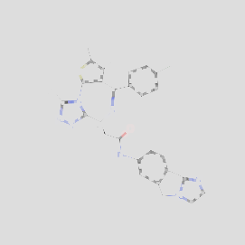 Cc1sc2c(c1C)C(c1ccc(Cl)cc1)=N[C@@H](CC(=O)Nc1ccc3c(c1)Cn1ccnc1-3)c1nnc(C)n1-2